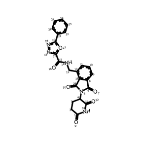 O=C1CCC(N2C(=O)c3cccc(CNC(=O)c4nnc(-c5ccccc5)o4)c3C2=O)C(=O)N1